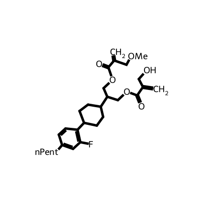 C=C(CO)C(=O)OCC(COC(=O)C(=C)COC)C1CCC(c2ccc(CCCCC)cc2F)CC1